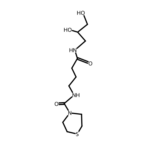 O=C(CCCNC(=O)N1CCSCC1)NCC(O)CO